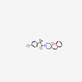 O=C(N1CCC2(C=Cc3ccccc3O2)CC1)C1(c2ccc(Cl)cc2)CC1